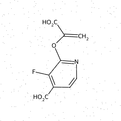 C=C(Oc1nccc(C(=O)O)c1F)C(=O)O